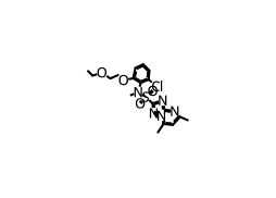 CCOCCOc1cccc(Cl)c1N(C)S(=O)(=O)c1nc2nc(C)cc(C)n2n1